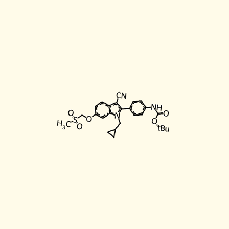 CC(C)(C)OC(=O)Nc1ccc(-c2c(C#N)c3ccc(OCS(C)(=O)=O)cc3n2CC2CC2)cc1